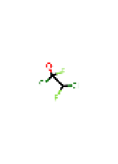 [O]C(F)(Cl)C(F)Cl